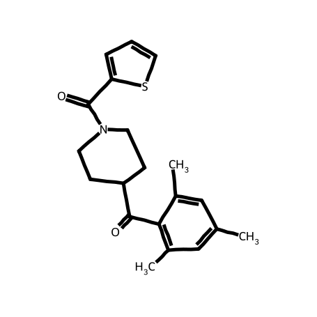 Cc1cc(C)c(C(=O)C2CCN(C(=O)c3cccs3)CC2)c(C)c1